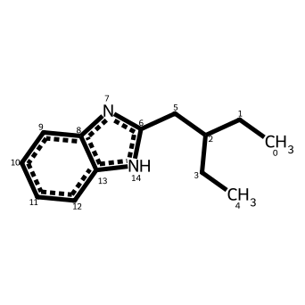 CCC(CC)Cc1nc2ccccc2[nH]1